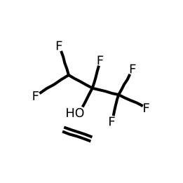 C=C.OC(F)(C(F)F)C(F)(F)F